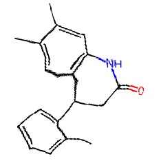 Cc1cc2c(cc1C)C(c1ccccc1C)CC(=O)N2